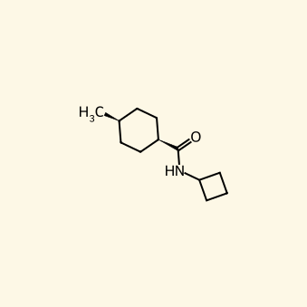 C[C@H]1CC[C@@H](C(=O)NC2CCC2)CC1